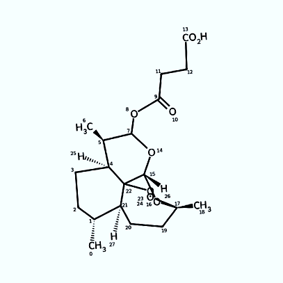 C[C@@H]1CC[C@H]2[C@@H](C)C(OC(=O)CCC(=O)O)O[C@@H]3O[C@@]4(C)CC[C@@H]1C32OO4